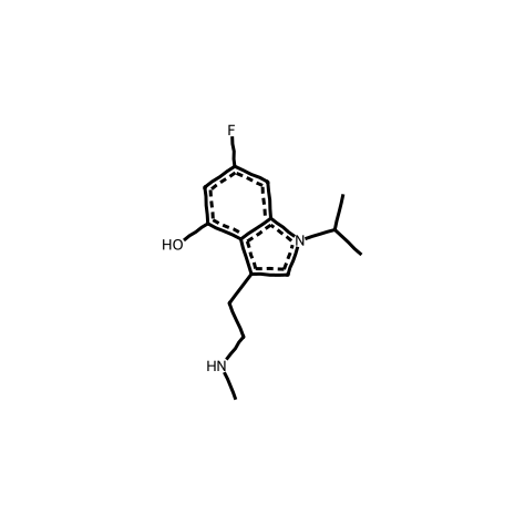 CNCCc1cn(C(C)C)c2cc(F)cc(O)c12